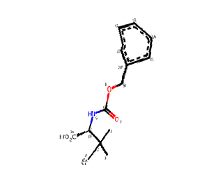 CCC(C)(C)[C@H](NC(=O)OCc1ccccc1)C(=O)O